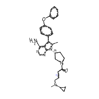 Cc1c(-c2ccc(Oc3ccccc3)cc2)c2c(N)ncnc2n1[C@@H]1CCN(C(=O)/C=C/CN(C)C2CC2)C1